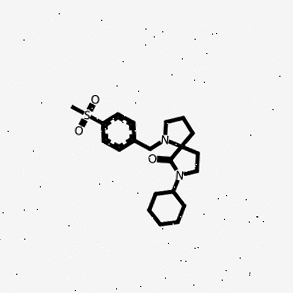 CS(=O)(=O)c1ccc(CN2CCCC23CCN(C2CCCCC2)C3=O)cc1